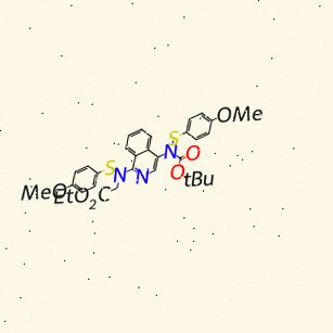 CCOC(=O)CN(Sc1ccc(OC)cc1)c1ncc(N(Sc2ccc(OC)cc2)C(=O)OC(C)(C)C)c2ccccc12